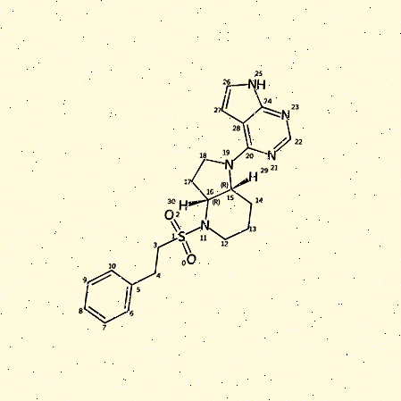 O=S(=O)(CCc1ccccc1)N1CCC[C@@H]2[C@H]1CCN2c1ncnc2[nH]ccc12